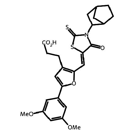 COc1cc(OC)cc(-c2cc(CCC(=O)O)c(/C=C3\SC(=S)N(C4CC5CCC4C5)C3=O)o2)c1